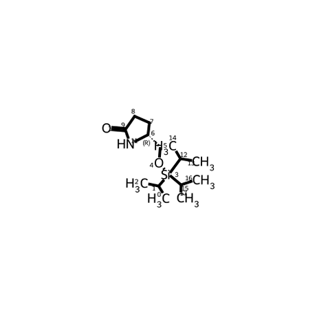 CC(C)[Si](OC[C@H]1CCC(=O)N1)(C(C)C)C(C)C